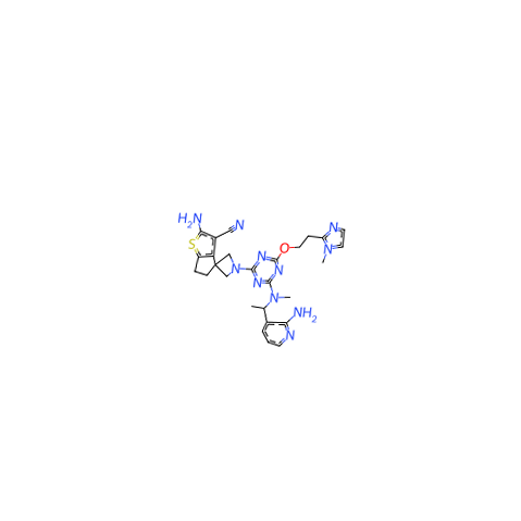 CC(c1cccnc1N)N(C)c1nc(OCCc2nccn2C)nc(N2CC3(CCc4sc(N)c(C#N)c43)C2)n1